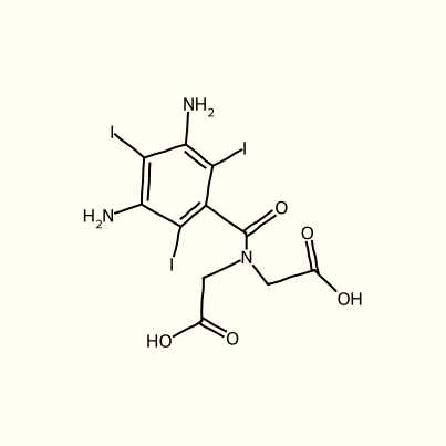 Nc1c(I)c(N)c(I)c(C(=O)N(CC(=O)O)CC(=O)O)c1I